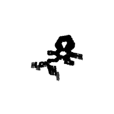 CN(C)CCn1c(=O)[nH]c2ccccc2c1=O